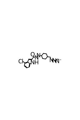 [N-]=[N+]=NCC1CCC(N=NC(=O)c2cc3c(Cl)cccc3[nH]2)CC1